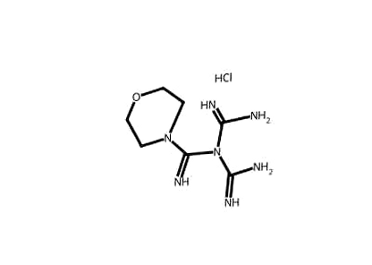 Cl.N=C(N)N(C(=N)N)C(=N)N1CCOCC1